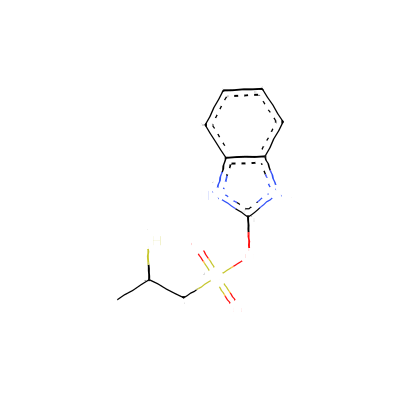 CC(S)CS(=O)(=O)Oc1nc2ccccc2[nH]1